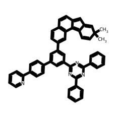 CC1(C)C=CC2=c3c(ccc4ccc(-c5cc(-c6ccc(-c7ccccn7)cc6)cc(-c6nc(-c7ccccc7)nc(-c7ccccc7)n6)c5)cc34)=CC2=C1